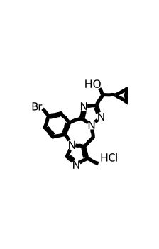 Cc1ncn2c1Cn1nc(C(O)C3CC3)nc1-c1cc(Br)ccc1-2.Cl